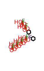 O=S(=O)(O)F.O=S(=O)(O)F.O=S(=O)(O)F.O=S(=O)(O)F.O=S(=O)(O)F.O=S(=O)([O-])F.c1ccc([I+]c2ccccc2)cc1